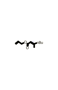 C=CCOC(=O)/C=C(\C)CCCC